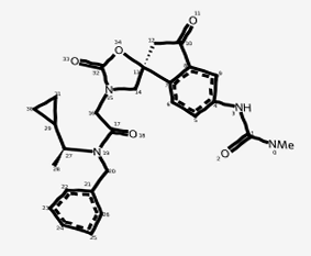 CNC(=O)Nc1ccc2c(c1)C(=O)C[C@@]21CN(CC(=O)N(Cc2ccccc2)[C@@H](C)C2CC2)C(=O)O1